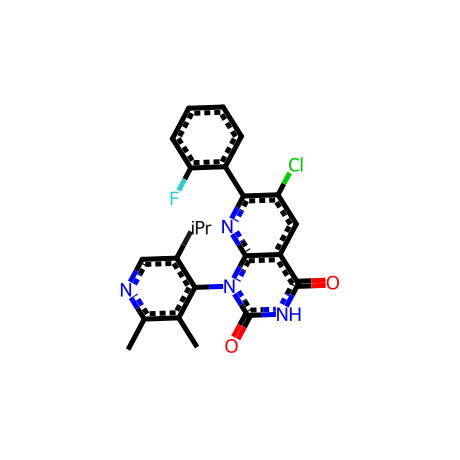 Cc1ncc(C(C)C)c(-n2c(=O)[nH]c(=O)c3cc(Cl)c(-c4ccccc4F)nc32)c1C